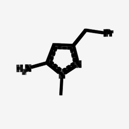 CC(C)Cc1cc(N)n(C)n1